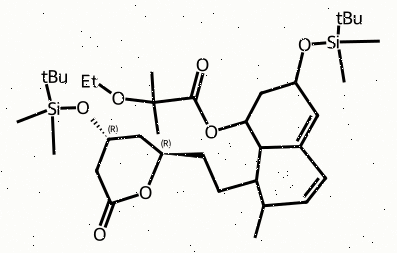 CCOC(C)(C)C(=O)OC1CC(O[Si](C)(C)C(C)(C)C)C=C2C=CC(C)C(CC[C@@H]3C[C@@H](O[Si](C)(C)C(C)(C)C)CC(=O)O3)C21